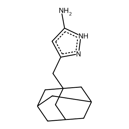 Nc1cc(CC23CC4CC(CC(C4)C2)C3)n[nH]1